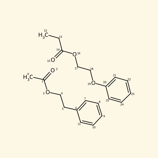 CC(=O)OCCc1ccccc1.CCC(=O)OCCOc1ccccc1